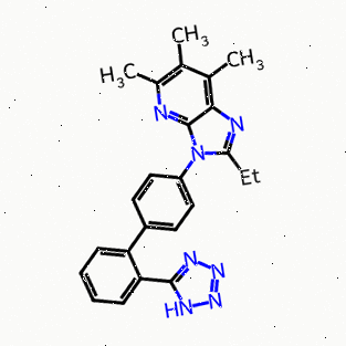 CCc1nc2c(C)c(C)c(C)nc2n1-c1ccc(-c2ccccc2-c2nnn[nH]2)cc1